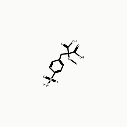 CS(=O)(=O)c1ccc(CC(OI)(C(=O)O)C(=O)O)cc1